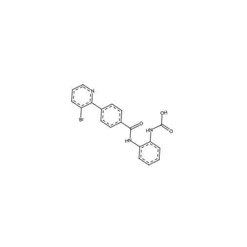 O=C(O)Nc1ccccc1NC(=O)c1ccc(-c2ncccc2Br)cc1